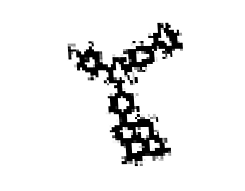 Fc1ccc(-c2cc(-c3ccc(-c4ccc5ccc6cccc7ccc4c5c67)cc3)nc(-c3ccc(-c4cccnc4)cc3)n2)cc1